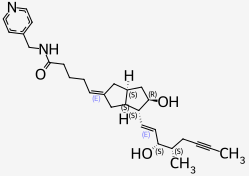 CC#CC[C@H](C)[C@H](O)/C=C/[C@@H]1[C@H]2C/C(=C/CCCC(=O)NCc3ccncc3)C[C@H]2C[C@H]1O